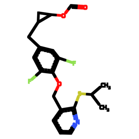 CC(C)Sc1ncccc1COc1c(F)cc(CC2CC2OC=O)cc1F